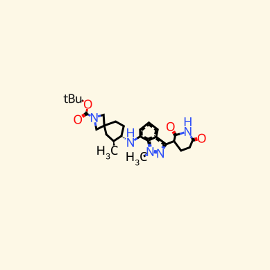 C[C@H]1CC2(CC[C@@H]1Nc1cccc3c(C4CCC(=O)NC4=O)nn(C)c13)CN(C(=O)OC(C)(C)C)C2